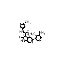 C/C(Nc1cnn(C)c1)=C1/C(=O)Nc2cnc(-c3cncc(N)c3C)cc21